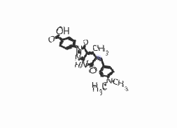 Cc1c2c([nH]c(=O)/c1=C\c1ccc(N(C)C)cc1)=NN(c1ccc(C(=O)O)cc1)C2=O